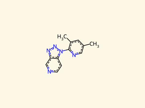 Cc1cnc(-n2nnc3cnccc32)c(C)c1